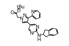 CC(C)(C)OC(=O)Cn1cc(-c2cnc(NC3Cc4ccccc4C3)nc2)c(-c2ccccn2)n1